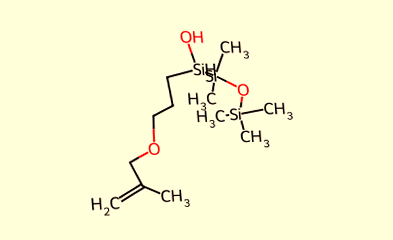 C=C(C)COCCC[SiH](O)[Si](C)(C)O[Si](C)(C)C